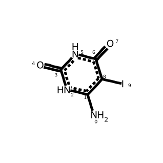 Nc1[nH]c(=O)[nH]c(=O)c1I